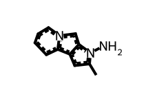 Cc1cc2c(cn3ccccc23)n1N